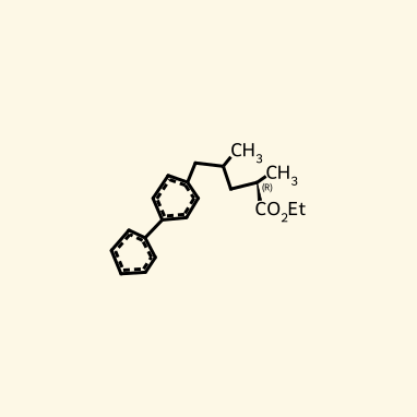 CCOC(=O)[C@H](C)CC(C)Cc1ccc(-c2ccccc2)cc1